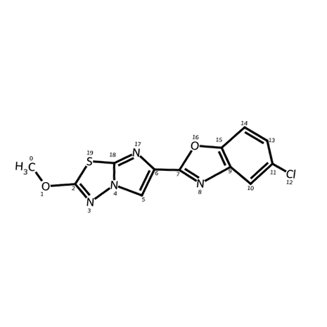 COc1nn2cc(-c3nc4cc(Cl)ccc4o3)nc2s1